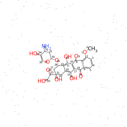 COc1cccc2c1C(=O)c1c(O)c3c(c(O)c1C2=O)CC(O)(C(=O)CO)C[C@@H]3OC1CC(N)C(O)=CO1